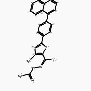 C/C(=N/NC(=N)N)c1sc(-c2ccc(-c3cccc4ccccc34)cc2)nc1C